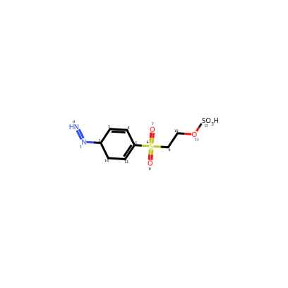 N=NC1C=CC(S(=O)(=O)CCOS(=O)(=O)O)=CC1